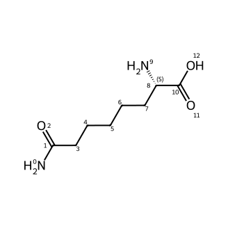 NC(=O)CCCCC[C@H](N)C(=O)O